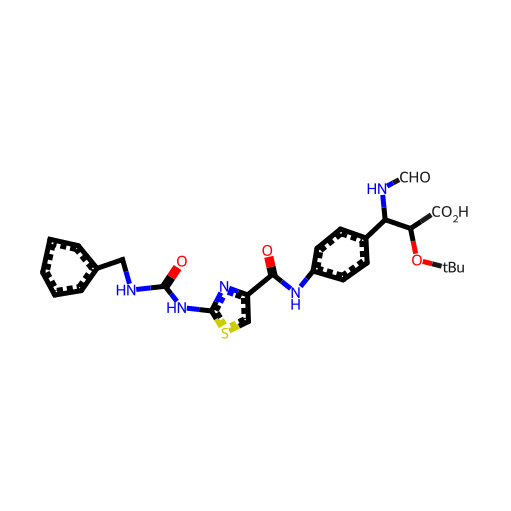 CC(C)(C)OC(C(=O)O)C(NC=O)c1ccc(NC(=O)c2csc(NC(=O)NCc3ccccc3)n2)cc1